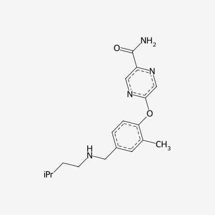 Cc1cc(CNCCC(C)C)ccc1Oc1cnc(C(N)=O)cn1